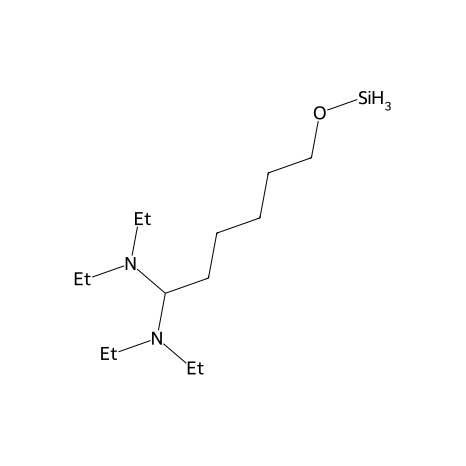 CCN(CC)C(CCCCCO[SiH3])N(CC)CC